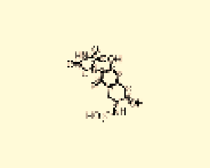 O=C(O)N[C@H]1Cc2c(cc(O)c(N3CC(=O)NS3(=O)=O)c2F)C[C@H]1O